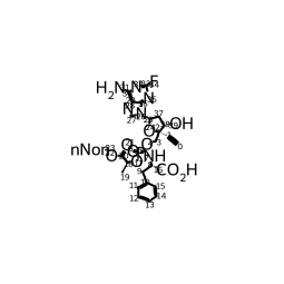 C#C[C@]1(CO[P@@](=O)(N[C@@H](Cc2ccccc2)C(=O)O)O[C@@H](C)C(=O)OCCCCCCCCC)O[C@@H](n2cnc3c(N)nc(F)nc32)C[C@@H]1O